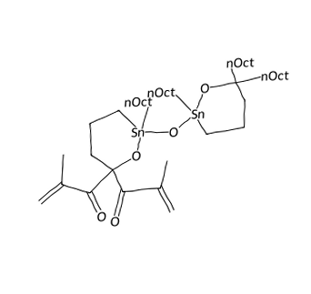 C=C(C)C(=O)C1(C(=O)C(=C)C)CC[CH2][Sn]([CH2]CCCCCCC)([O][Sn]2([CH2]CCCCCCC)[CH2]CCC(CCCCCCCC)(CCCCCCCC)[O]2)[O]1